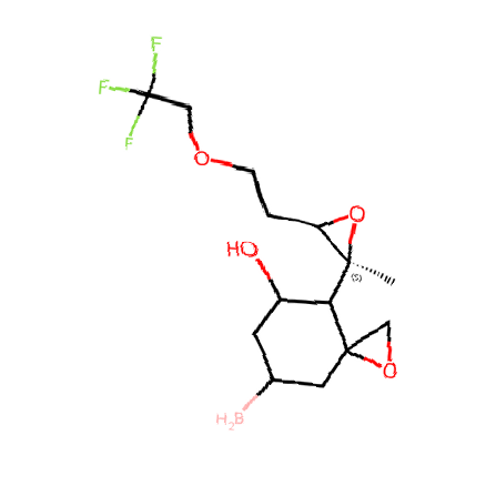 BC1CC(O)C([C@]2(C)OC2CCOCC(F)(F)F)C2(CO2)C1